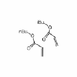 C=CC(=O)OC(C)CC.C=CC(=O)OCCCC